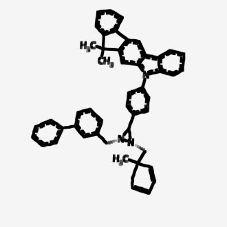 CC1(C[N@@]2C(c3ccc(-n4c5ccccc5c5cc6c(cc54)C(C)(C)c4ccccc4-6)cc3)[N@@]2Cc2cccc(-c3ccccc3)c2)C=CC=CC1